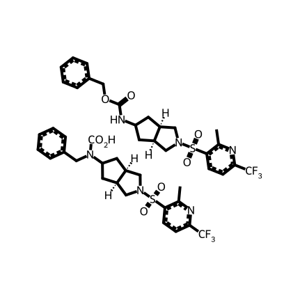 Cc1nc(C(F)(F)F)ccc1S(=O)(=O)N1C[C@H]2CC(N(Cc3ccccc3)C(=O)O)C[C@H]2C1.Cc1nc(C(F)(F)F)ccc1S(=O)(=O)N1C[C@H]2CC(NC(=O)OCc3ccccc3)C[C@H]2C1